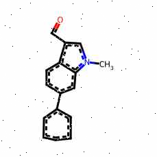 Cn1cc(C=O)c2ccc(-c3ccccc3)cc21